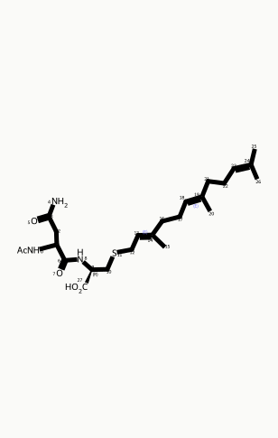 CC(=O)NC(CC(N)=O)C(=O)N[C@@H](CSC/C=C(\C)CC/C=C(\C)CCC=C(C)C)C(=O)O